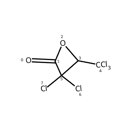 O=C1OC(C(Cl)(Cl)Cl)C1(Cl)Cl